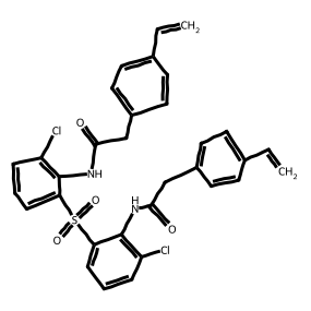 C=Cc1ccc(CC(=O)Nc2c(Cl)cccc2S(=O)(=O)c2cccc(Cl)c2NC(=O)Cc2ccc(C=C)cc2)cc1